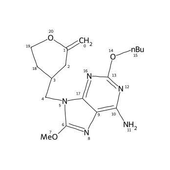 C=C1CC(Cn2c(OC)nc3c(N)nc(OCCCC)nc32)CCO1